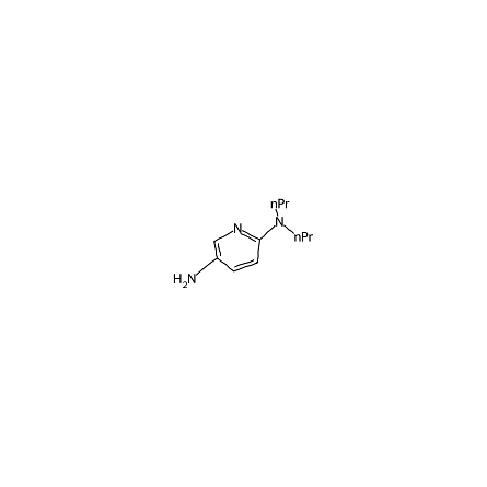 CCCN(CCC)c1ccc(N)cn1